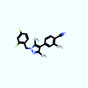 Cc1cc(-c2c(C)nn(Cc3ccc(F)cc3F)c2C)ccc1C#N